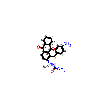 CC(=O)N(NC(N)=O)c1ccc2c(c1Cc1ccc(N)cc1)C(=O)c1ccccc1C2=O